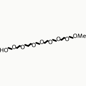 COCCOCCOCCOCCOCCOCCCOCCOCCO